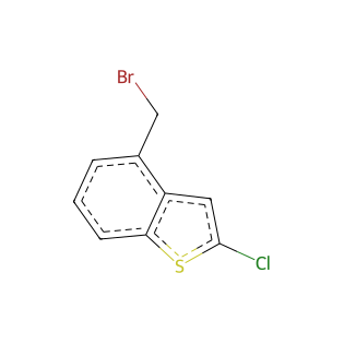 Clc1cc2c(CBr)cccc2s1